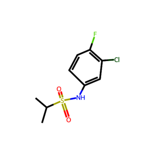 CC(C)S(=O)(=O)Nc1ccc(F)c(Cl)c1